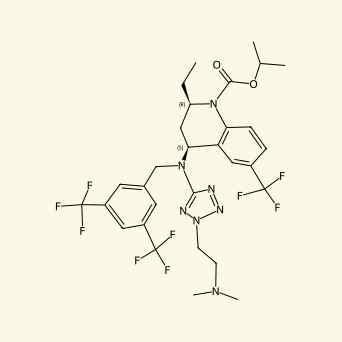 CC[C@@H]1C[C@H](N(Cc2cc(C(F)(F)F)cc(C(F)(F)F)c2)c2nnn(CCN(C)C)n2)c2cc(C(F)(F)F)ccc2N1C(=O)OC(C)C